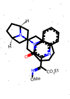 CCOC(=O)/C(=N\OC)c1nc2ccccc2n([C@H]2C[C@H]3CC[C@@H](C2)N3C2CC3CCCCC(C3)C2)c1=O